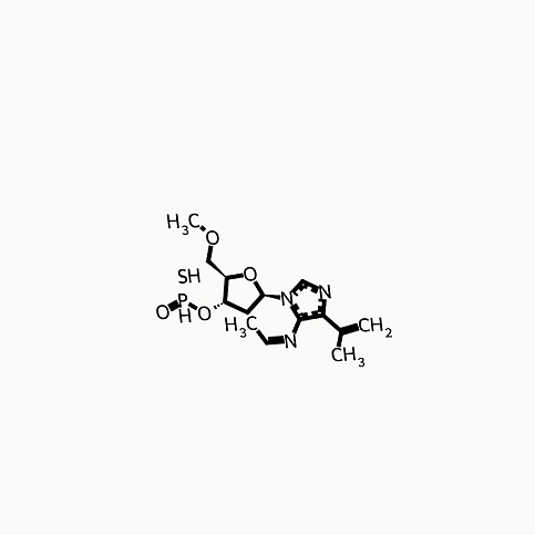 C=C(C)c1ncn([C@H]2C[C@H](O[PH](=O)S)[C@@H](COC)O2)c1/N=C\C